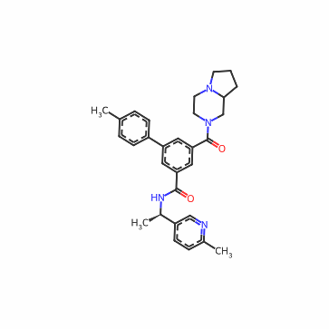 Cc1ccc(-c2cc(C(=O)N[C@H](C)c3ccc(C)nc3)cc(C(=O)N3CCN4CCCC4C3)c2)cc1